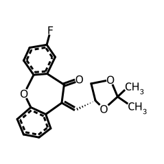 CC1(C)OC[C@@H](C=C2C(=O)c3cc(F)ccc3Oc3ccccc32)O1